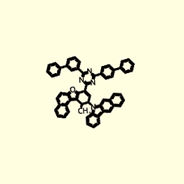 CC1c2c(oc3ccc4ccccc4c23)C(c2nc(-c3ccc(-c4ccccc4)cc3)nc(-c3cccc(-c4ccccc4)c3)n2)=CC1n1c2ccccc2c2cc3ccccc3cc21